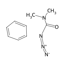 CN(C)C(=O)N=[N+]=[N-].c1ccccc1